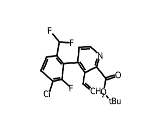 C=Cc1c(-c2c(C(F)F)ccc(Cl)c2F)ccnc1C(=O)OC(C)(C)C